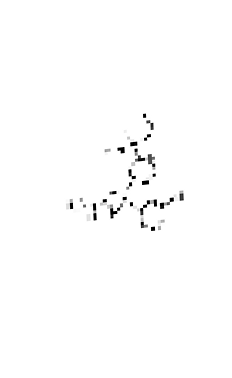 CNc1nc(-c2cccc(Cl)c2)c(-c2ccnc(C3(N)CCCCC3)c2)s1